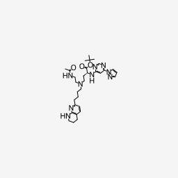 CC(=O)NCCN(CCCCc1ccc2c(n1)NCCC2)CC[C@H](Nc1cc(-n2cccn2)ncn1)C(=O)OC(C)(C)C